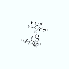 CC(C)C1C=C[C@@H](COC2OC(CO)C(O)C(O)C2O)[C@@H]2C=C[C@H](O)[C@@]2(C)C1